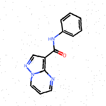 O=C(Nc1ccccc1)c1cnn2cccnc12